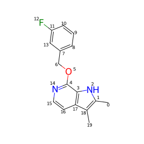 Cc1[nH]c2c(OCc3cccc(F)c3)nccc2c1C